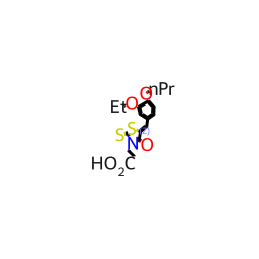 CCCOc1ccc(/C=C2\SC(=S)N(CCC(=O)O)C2=O)cc1OCC